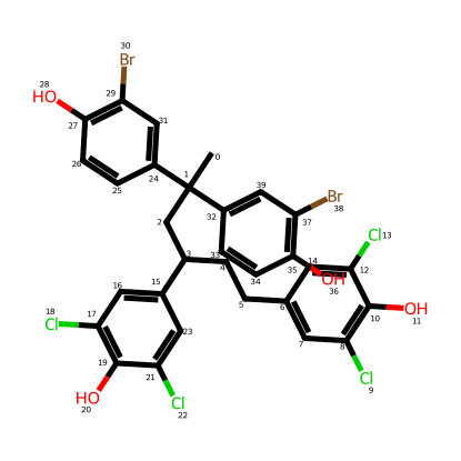 CC(CC(CCc1cc(Cl)c(O)c(Cl)c1)c1cc(Cl)c(O)c(Cl)c1)(c1ccc(O)c(Br)c1)c1ccc(O)c(Br)c1